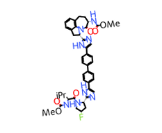 COC(=O)N[C@H]1CCc2cccc3c2N(C1=O)[C@H](c1ncc(-c2ccc(-c4ccc(-c5cnc([C@@H]6C[C@H](F)CN6C(=O)[C@@H](NC(=O)OC)C(C)C)[nH]5)cc4)cc2)[nH]1)C3